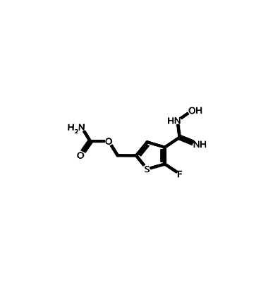 N=C(NO)c1cc(COC(N)=O)sc1F